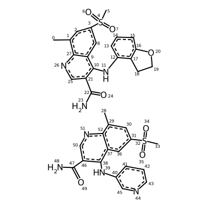 Cc1cc(S(C)(=O)=O)cc2c(Nc3cccc4c3CCO4)c(C(N)=O)cnc12.Cc1cc(S(C)(=O)=O)cc2c(Nc3cccnc3)c(C(N)=O)cnc12